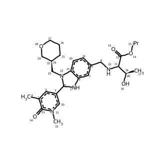 Cc1cc(C2Nc3cc(CNC(C(=O)OC(C)C)[C@@H](C)O)ccc3N2C[C@@H]2CCCOC2)cn(C)c1=O